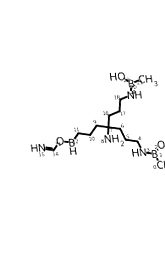 CB(O)NCCCC(N)(CCCBOC=N)CCCNB(C)O